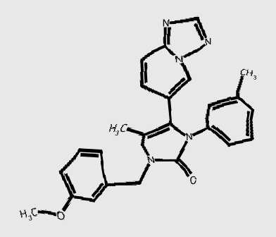 COc1cccc(Cn2c(C)c(-c3ccc4ncnn4c3)n(-c3cccc(C)c3)c2=O)c1